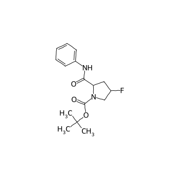 CC(C)(C)OC(=O)N1CC(F)CC1C(=O)Nc1ccccc1